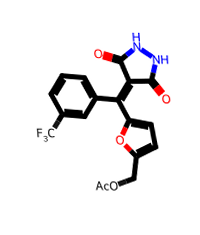 CC(=O)OCc1ccc(C(=C2C(=O)NNC2=O)c2cccc(C(F)(F)F)c2)o1